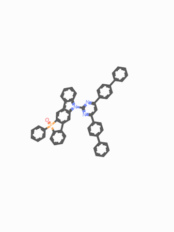 O=P1(c2ccccc2)c2ccccc2-c2cc3c(cc21)c1ccccc1n3-c1nc(-c2ccc(-c3ccccc3)cc2)cc(-c2ccc(-c3ccccc3)cc2)n1